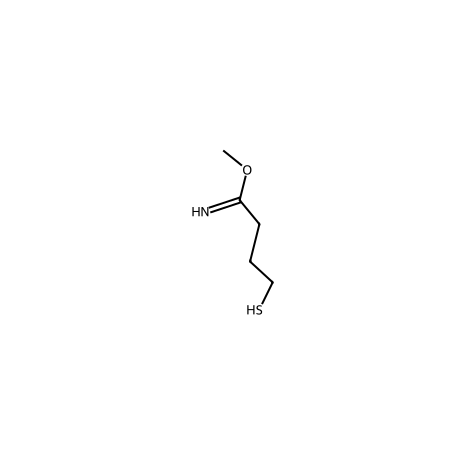 COC(=N)CCCS